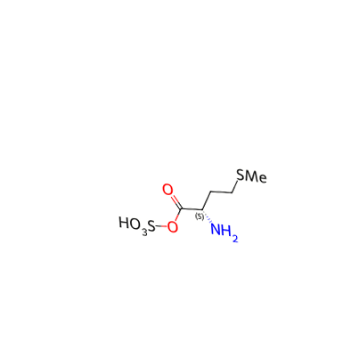 CSCC[C@H](N)C(=O)OS(=O)(=O)O